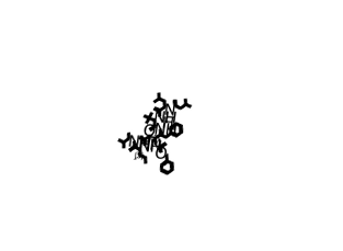 C=C(CC(C)C)NC(CC(C)C)C(=C)NC(C(=O)NC(Cc1ccccc1)[C@H](CC(=C)NC(C(=C)NC(C)C(C)C)[C@@H](C)CC)NC(=C)OCc1ccccc1)C(C)(C)C